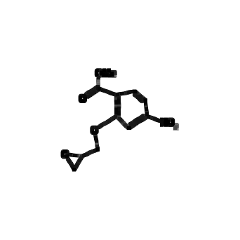 COC(=O)c1ccc([N+](=O)[O-])cc1OCC1CO1